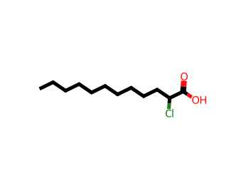 CCCCCCCCCCC(Cl)C(=O)O